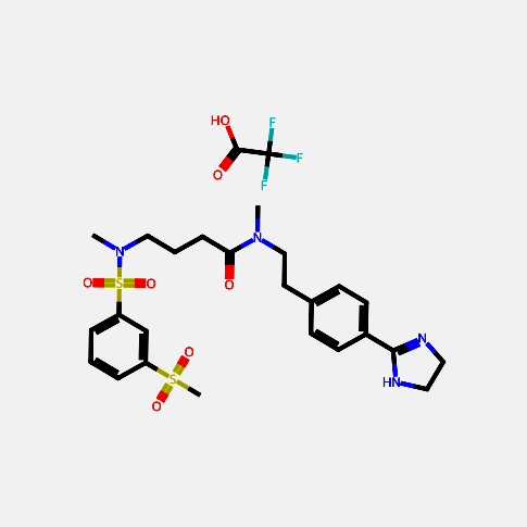 CN(CCc1ccc(C2=NCCN2)cc1)C(=O)CCCN(C)S(=O)(=O)c1cccc(S(C)(=O)=O)c1.O=C(O)C(F)(F)F